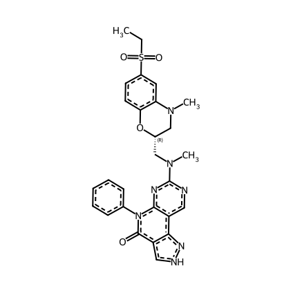 CCS(=O)(=O)c1ccc2c(c1)N(C)C[C@H](CN(C)c1ncc3c4n[nH]cc4c(=O)n(-c4ccccc4)c3n1)O2